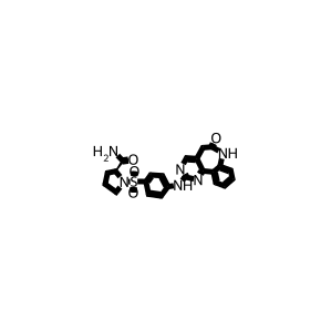 NC(=O)[C@@H]1CCCN1S(=O)(=O)c1ccc(Nc2ncc3c(n2)-c2ccccc2NC(=O)C3)cc1